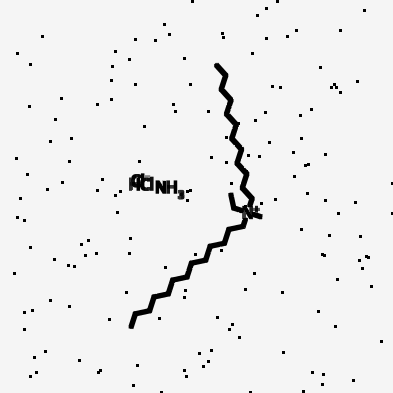 CCCCCCCCCCCCC[N+](C)(CC)CCCCCCCCCCCC.Cl.N.[Cl-]